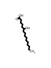 CCCCCCCCCCC(O)CCCCC(=O)O